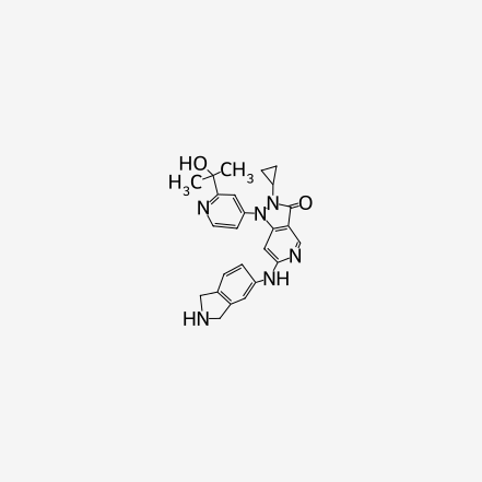 CC(C)(O)c1cc(-n2c3cc(Nc4ccc5c(c4)CNC5)ncc3c(=O)n2C2CC2)ccn1